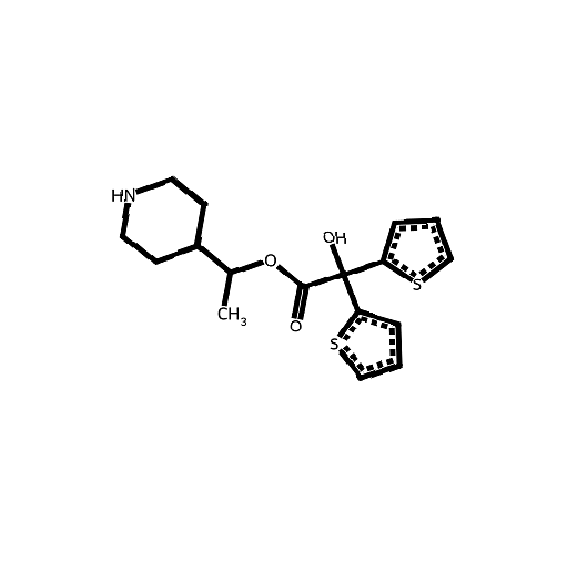 CC(OC(=O)C(O)(c1cccs1)c1cccs1)C1CCNCC1